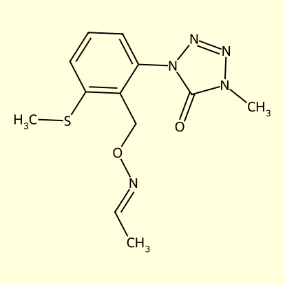 CC=NOCc1c(SC)cccc1-n1nnn(C)c1=O